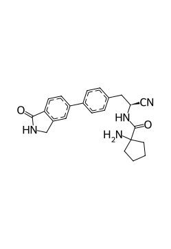 N#C[C@H](Cc1ccc(-c2ccc3c(c2)CNC3=O)cc1)NC(=O)C1(N)CCCC1